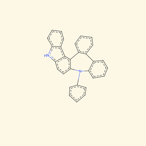 c1ccc(N2c3ccccc3-c3ccccc3-c3c2ccc2[nH]c4ccccc4c32)cc1